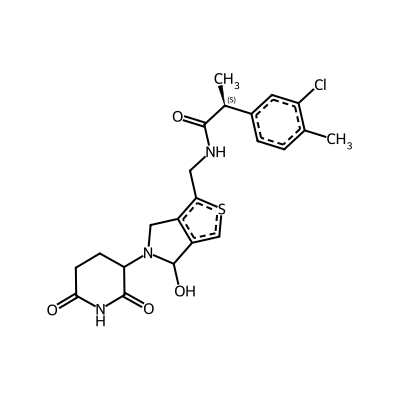 Cc1ccc([C@H](C)C(=O)NCc2scc3c2CN(C2CCC(=O)NC2=O)C3O)cc1Cl